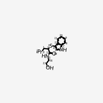 CC(C)CC(Sc1c[nH]c2ccccc12)C(=O)NCCO